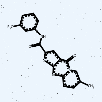 Cc1ccc2nc3sc(C(=O)Nc4cccc(C(F)(F)F)c4)cc3c(=O)n2c1